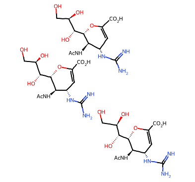 CC(=O)N[C@H]1[C@H]([C@H](O)[C@H](O)CO)OC(C(=O)O)=C[C@@H]1NC(=N)N.CC(=O)N[C@H]1[C@H]([C@H](O)[C@H](O)CO)OC(C(=O)O)=C[C@@H]1NC(=N)N.CC(=O)N[C@H]1[C@H]([C@H](O)[C@H](O)CO)OC(C(=O)O)=C[C@@H]1NC(=N)N